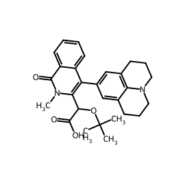 Cn1c(C(OC(C)(C)C)C(=O)O)c(-c2cc3c4c(c2)CCCN4CCC3)c2ccccc2c1=O